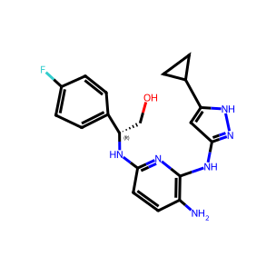 Nc1ccc(N[C@@H](CO)c2ccc(F)cc2)nc1Nc1cc(C2CC2)[nH]n1